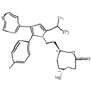 CC(C)c1cc(-c2ccncc2)c(-c2ccc(F)cc2)n1CC[C@@H]1C[C@@H](O)CC(=O)O1